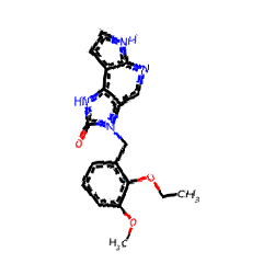 CCOc1c(Cn2c(=O)[nH]c3c4cc[nH]c4ncc32)cccc1OC